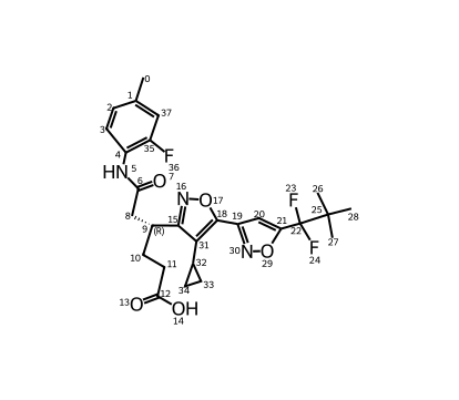 Cc1ccc(NC(=O)C[C@@H](CCC(=O)O)c2noc(-c3cc(C(F)(F)C(C)(C)C)on3)c2C2CC2)c(F)c1